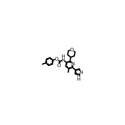 Cc1ccc(OC(=O)Nc2cc(C)c(-c3cn[nH]c3)nc2C2CCOCC2)cc1